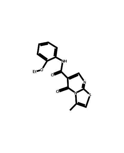 CCOc1ccccc1NC(=O)c1cnc2scc(C)n2c1=O